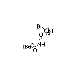 CN1NC=C(Br)C1OCCNC(=O)OC(C)(C)C